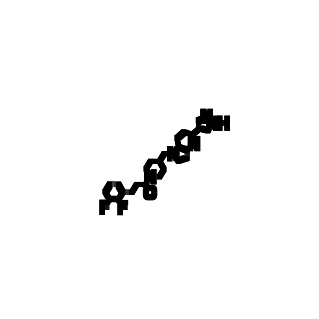 O=C(CCc1cccc(F)c1F)N1CCC(Cn2ccc3nc(-c4cn[nH]c4)ccc32)CC1